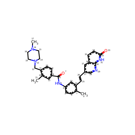 Cc1ccc(NC(=O)c2ccc(CN3CCN(C)CC3)c(C)c2)cc1/C=C/c1cnc2[nH]c(=O)ccc2c1